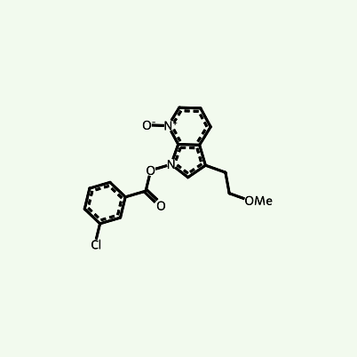 COCCc1cn(OC(=O)c2cccc(Cl)c2)c2c1ccc[n+]2[O-]